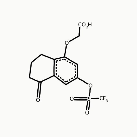 O=C(O)COc1cc(OS(=O)(=O)C(F)(F)F)cc2c1CCCC2=O